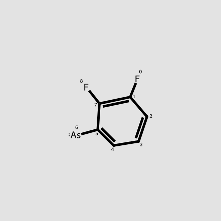 Fc1cccc([As])c1F